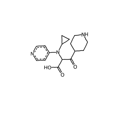 O=C(O)C(C(=O)C1CCNCC1)N(c1ccncc1)C1CC1